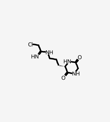 N=C(CCl)NCCC[C@@H]1NC(=O)CNC1=O